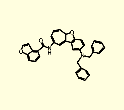 O=C(NC1=CC=CC2Oc3ccc(N(Cc4ccccc4)Cc4ccccc4)cc3C2=C1)c1cccc2occc12